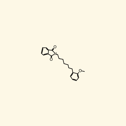 COc1ccccc1CCCCCCCN1C(=O)c2ccccc2C1=O